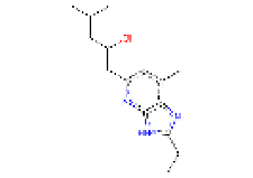 CCc1nc2c(C)cc(CC(O)CC(C)C)nc2[nH]1